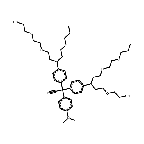 CCCOCCOCCN(CCOCCO)c1ccc(C(C#N)(c2ccc(N(C)C)cc2)c2ccc(N(CCOCCC)CCOCCOCCO)cc2)cc1